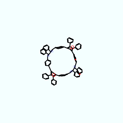 O=C1C2=C(c3ccccc3)C(c3ccccc3)=C1c1ccc(cc1)/C=C(c1ccccc1)\C(c1ccccc1)=C/c1ccc(cc1)C1=C(c3ccccc3)C(c3ccccc3)=C(C1=O)c1ccc(cc1)/C=C(c1ccccc1)\C(c1ccccc1)=C/c1ccc2cc1